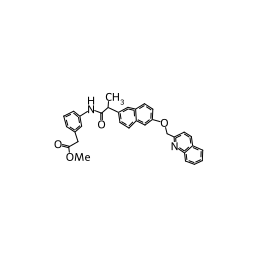 COC(=O)Cc1cccc(NC(=O)C(C)c2ccc3cc(OCc4ccc5ccccc5n4)ccc3c2)c1